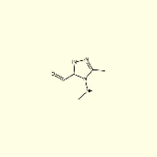 CNN1C(C)=NNC1C=O